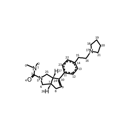 CN(C)C(=O)N1C[C@H]2CC=C(c3ccc(CCN4CCCC4)cc3)[C@H]2C1